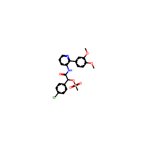 COc1ccc(-c2ncccc2NC(=O)C(OS(C)(=O)=O)c2ccc(Cl)cc2)cc1OC